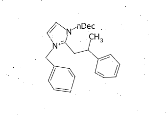 CCCCCCCCCCn1cc[n+](Cc2ccccc2)c1CC(C)c1ccccc1